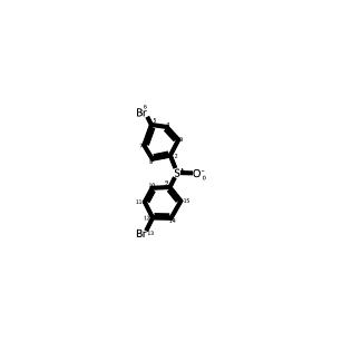 [O-][S+](c1ccc(Br)cc1)c1ccc(Br)cc1